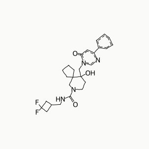 O=C(NCC1CC(F)(F)C1)N1CCC(O)(Cn2cnc(-c3ccccc3)cc2=O)C2(CCCC2)C1